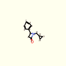 O=C1CC(c2ccccc2)N1CC1CC1